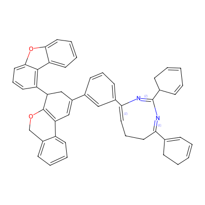 C1=CCCC(/C2=N/C(C3C=CC=CC3)=N\C(c3cccc(C4=CC5=C(OCc6ccccc65)C(c5cccc6oc7ccccc7c56)C4)c3)=C/CC2)=C1